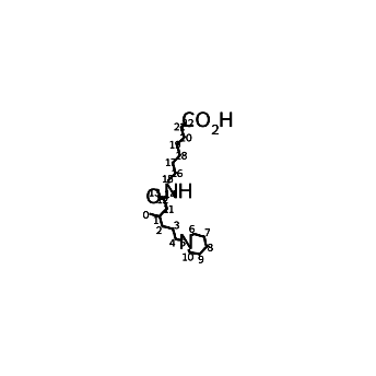 CC(CCCN1CCCCC1)CC(=O)NCCCCCCCC(=O)O